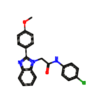 COc1ccc(-c2nc3ccccc3n2CC(=O)Nc2ccc(Cl)cc2)cc1